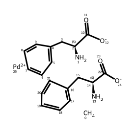 C.N[C@@H](Cc1ccccc1)C(=O)[O-].N[C@@H](Cc1ccccc1)C(=O)[O-].[Pd+2]